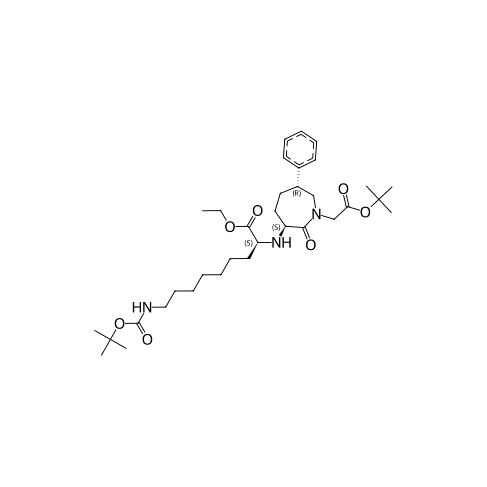 CCOC(=O)[C@H](CCCCCCCNC(=O)OC(C)(C)C)N[C@H]1CC[C@H](c2ccccc2)CN(CC(=O)OC(C)(C)C)C1=O